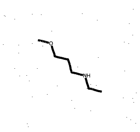 C[CH]NCCCOC